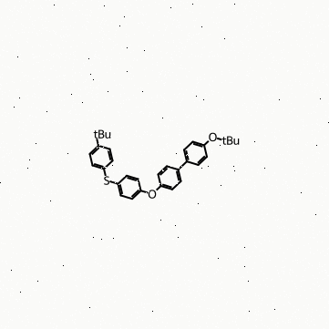 CC(C)(C)Oc1ccc(-c2ccc(Oc3ccc(Sc4ccc(C(C)(C)C)cc4)cc3)cc2)cc1